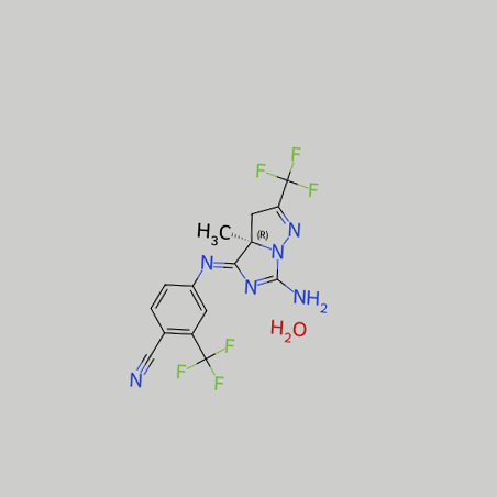 C[C@]12CC(C(F)(F)F)=NN1C(N)=NC2=Nc1ccc(C#N)c(C(F)(F)F)c1.O